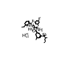 CCCC(C)C(=O)c1cc(C)cc(C(=O)N[C@@H](Cc2cc(F)cc(F)c2)[C@H](O)CNCc2cccc(CC)c2)c1.Cl